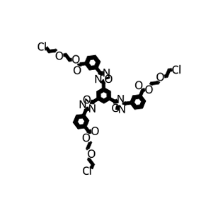 O=C(OCCOCCCl)c1cccc(-c2noc(-c3cc(-c4nc(-c5cccc(C(=O)OCCOCCCl)c5)no4)cc(-c4nc(-c5cccc(C(=O)OCCOCCCl)c5)no4)c3)n2)c1